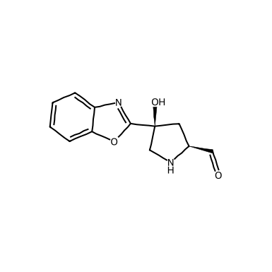 O=C[C@@H]1C[C@@](O)(c2nc3ccccc3o2)CN1